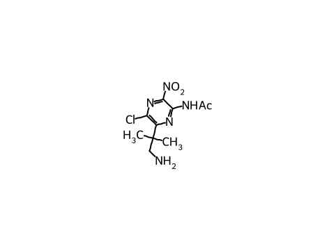 CC(=O)Nc1nc(C(C)(C)CN)c(Cl)nc1[N+](=O)[O-]